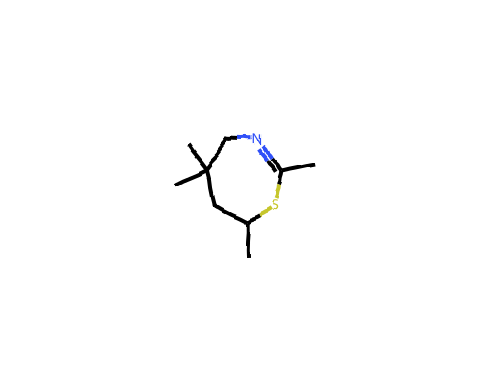 CC1=NCC(C)(C)CC(C)S1